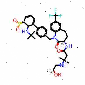 C[C@@H](O)CNC(C)(C)CC(=O)N[C@@H]1CCc2cc(C(F)(F)F)ccc2N(Cc2ccc(C3=CC=CC(=S(=O)=O)C3NC(C)(C)C)cc2)C1=O